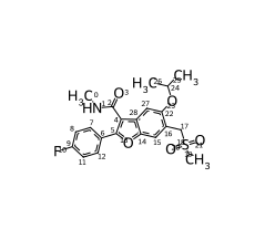 CNC(=O)c1c(-c2ccc(F)cc2)oc2cc(CS(C)(=O)=O)c(OC(C)C)cc12